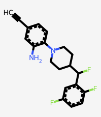 C#Cc1ccc(N2CCC(C(F)c3cc(F)ccc3F)CC2)c(N)c1